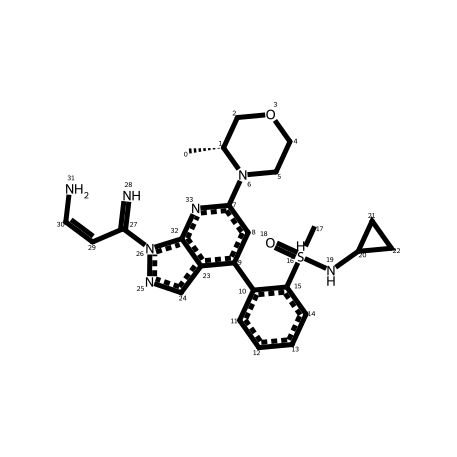 C[C@@H]1COCCN1c1cc(-c2ccccc2[SH](C)(=O)NC2CC2)c2cnn(C(=N)/C=C\N)c2n1